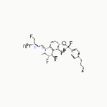 C=CCCc1ccc(C(F)(F)Oc2ccc3c(c2F)C(F)C(F)C(C)/C3=C\C=C(/CF)CCC)cc1